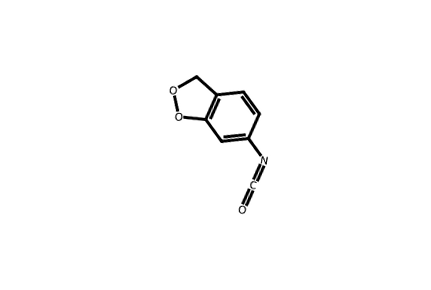 O=C=Nc1ccc2c(c1)OOC2